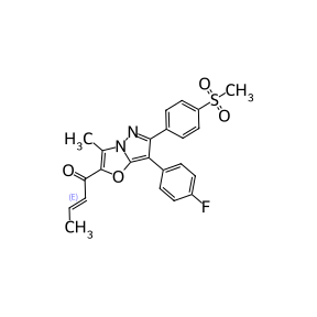 C/C=C/C(=O)c1oc2c(-c3ccc(F)cc3)c(-c3ccc(S(C)(=O)=O)cc3)nn2c1C